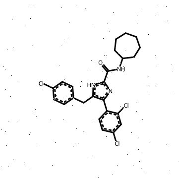 O=C(NC1CCCCCC1)c1nc(-c2ccc(Cl)cc2Cl)c(Cc2ccc(Cl)cc2)[nH]1